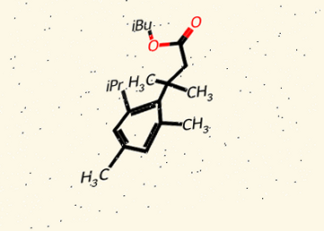 CCC(C)OC(=O)CC(C)(C)c1c(C)cc(C)cc1C(C)C